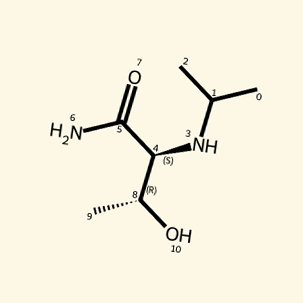 CC(C)N[C@H](C(N)=O)[C@@H](C)O